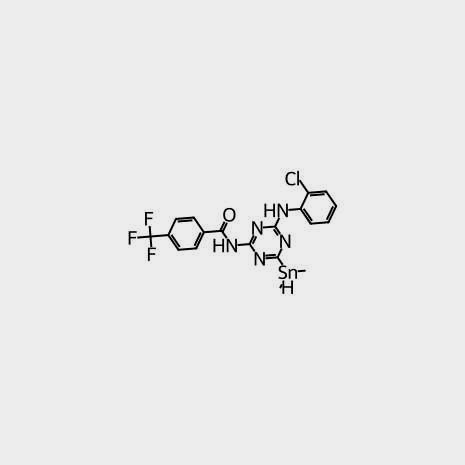 [CH3][SnH]([CH3])[c]1nc(NC(=O)c2ccc(C(F)(F)F)cc2)nc(Nc2ccccc2Cl)n1